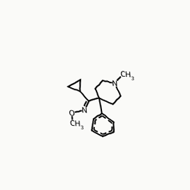 CON=C(C1CC1)C1(c2ccccc2)CCN(C)CC1